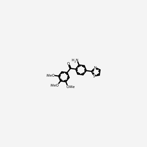 COc1cc(C(=O)c2ccc(-c3nccs3)cc2N)cc(OC)c1OC